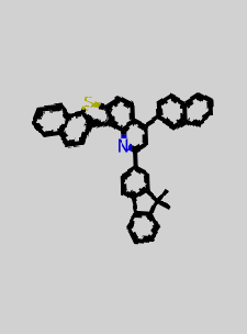 CC1(C)c2ccccc2-c2ccc(-c3cc(-c4ccc5ccccc5c4)c4ccc5sc6c7ccccc7ccc6c5c4n3)cc21